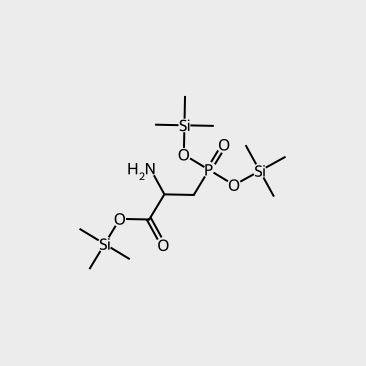 C[Si](C)(C)OC(=O)C(N)CP(=O)(O[Si](C)(C)C)O[Si](C)(C)C